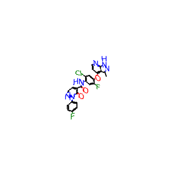 Cc1n[nH]c2nccc(Oc3cc(Cl)c(NC(=O)c4ccnn(-c5ccc(F)cc5)c4=O)cc3F)c12